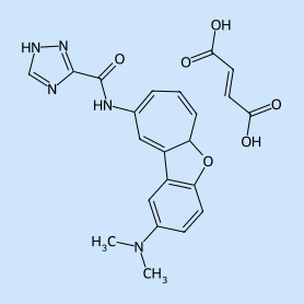 CN(C)c1ccc2c(c1)C1=CC(NC(=O)c3nc[nH]n3)=CC=CC1O2.O=C(O)/C=C/C(=O)O